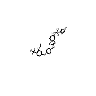 CCOc1cc(CN2CCC(Nc3nc4cc(NS(=O)(=O)c5cn(C)cn5)ccc4o3)CC2)ccc1C(F)(F)F